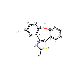 Cc1nc2c(s1)-c1ccccc1Oc1ccc(F)cc1-2